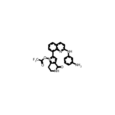 Nc1cccc(Nc2ccc3cccc(-c4cc5c(n4OC(=O)C(F)(F)F)CCNC5=O)c3n2)c1